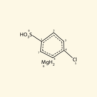 O=S(=O)(O)c1ccc(Cl)cc1.[MgH2]